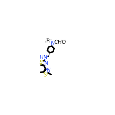 Cc1nc(-c2csc(NC[C@H]3CC[C@H](N(C=O)C(C)C)CC3)n2)c(C)s1